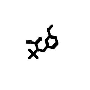 CSc1cccc(CN(C(=O)O)C(C)(C)C)c1